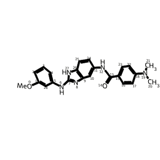 COc1cccc(Nc2nc3cc(NC(=O)c4ccc(N(C)C)cc4)ccc3[nH]2)c1